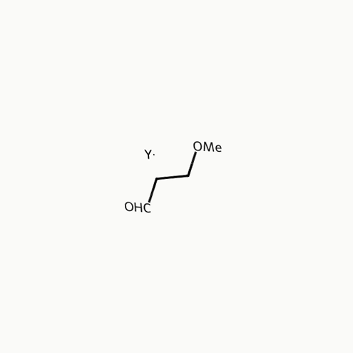 COCCC=O.[Y]